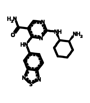 NC(=O)c1cnc(N[C@@H]2CCCC[C@@H]2N)nc1Nc1ccc2nsnc2c1